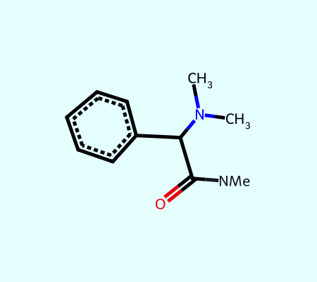 CNC(=O)C(c1ccccc1)N(C)C